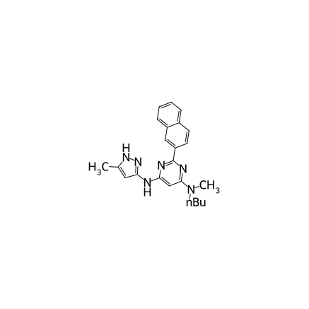 CCCCN(C)c1cc(Nc2cc(C)[nH]n2)nc(-c2ccc3ccccc3c2)n1